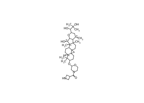 C[C@@H]1CC(C(O)C(C)(C)O)OC2C1C1(C)CCC34CC35CCC(OC3CN(C(=O)C6CNC6)CCO3)C(C)(C)[C@@H]5CCC4[C@]1(C)[C@H]2O